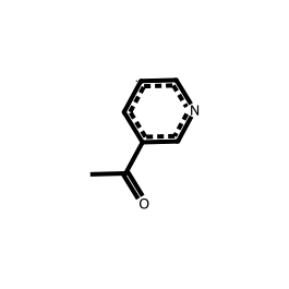 CC(=O)c1c[c]cnc1